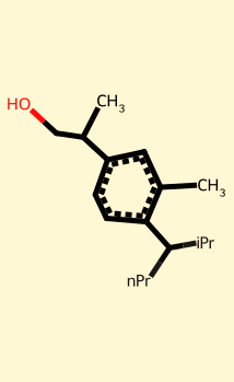 CCC[C](c1ccc(C(C)CO)cc1C)C(C)C